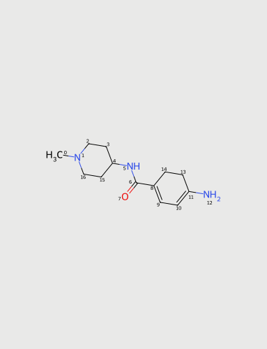 CN1CCC(NC(=O)C2=CC=C(N)CC2)CC1